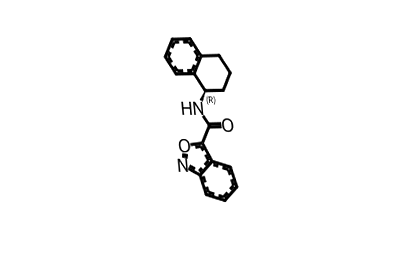 O=C(N[C@@H]1CCCc2ccccc21)c1onc2ccccc12